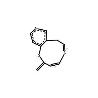 C=C1/C=C\N=C/Cc2cnccc2S1